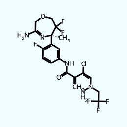 C=C(C(=O)Nc1ccc(F)c([C@@]2(C)N=C(N)COCC2(F)F)c1)/C(Cl)=C\N(N)CC(F)(F)F